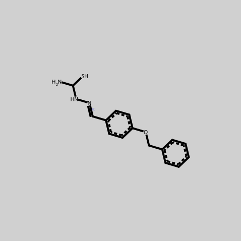 NC(S)N/N=C/c1ccc(OCc2ccccc2)cc1